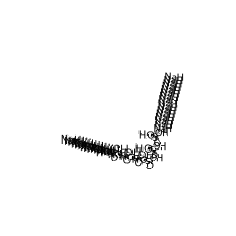 O=[Si](O)O.O=[Si](O)O.O=[Si](O)O.O=[Si](O)O.O=[Si](O)O.O=[Si](O)O.[NaH].[NaH].[NaH].[NaH].[NaH].[NaH].[NaH].[NaH].[NaH].[NaH].[NaH].[NaH].[NaH].[NaH].[NaH].[NaH].[NaH].[NaH].[NaH].[NaH].[NaH].[NaH].[NaH].[NaH].[NaH].[NaH].[NaH].[NaH].[NaH]